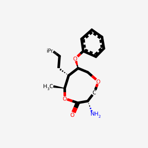 CC(C)CC[C@H]1[C@H](C)OC(=O)[C@@H](N)COC[C@@H]1Oc1ccccc1